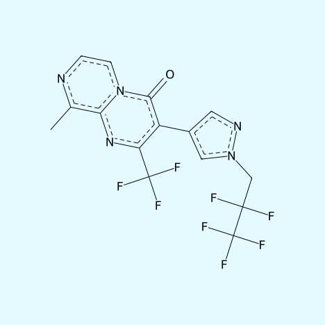 Cc1nccn2c(=O)c(-c3cnn(CC(F)(F)C(F)(F)F)c3)c(C(F)(F)F)nc12